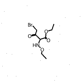 CCONC(C(=O)CBr)C(=O)OCC